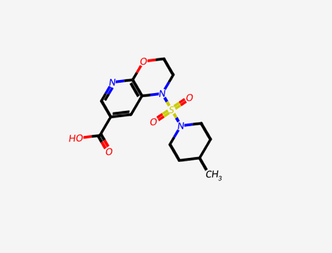 CC1CCN(S(=O)(=O)N2CCOc3ncc(C(=O)O)cc32)CC1